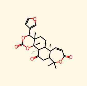 CC1(C)OC(=O)C=C[C@@]2(C)C1CC(=O)[C@]1(C)C2CC[C@@]2(C)[C@H](c3ccoc3)OC(=O)O[C@]21C